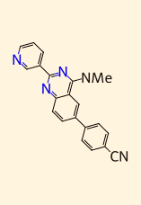 CNc1nc(-c2cccnc2)nc2ccc(-c3ccc(C#N)cc3)cc12